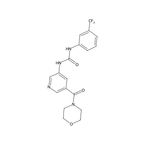 O=C(Nc1cncc(C(=O)N2CCOCC2)c1)Nc1cccc(C(F)(F)F)c1